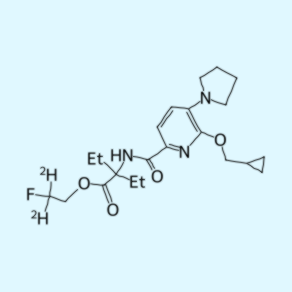 [2H]C([2H])(F)COC(=O)C(CC)(CC)NC(=O)c1ccc(N2CCCC2)c(OCC2CC2)n1